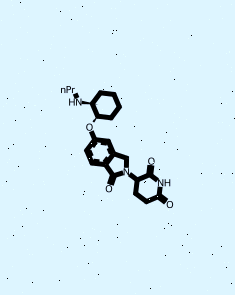 CCCN[C@H]1CCCC[C@@H]1Oc1ccc2c(c1)CN(C1CCC(=O)NC1=O)C2=O